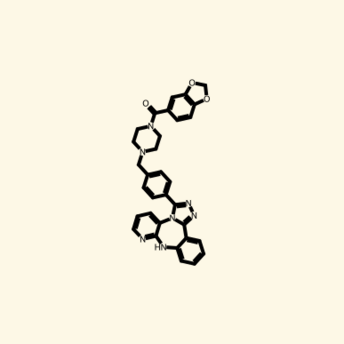 O=C(c1ccc2c(c1)OCO2)N1CCN(Cc2ccc(-c3nnc4n3-c3cccnc3Nc3ccccc3-4)cc2)CC1